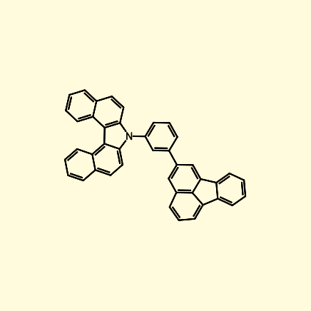 c1cc(-c2cc3c4c(cccc4c2)-c2ccccc2-3)cc(-n2c3ccc4ccccc4c3c3c4ccccc4ccc32)c1